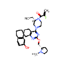 C=C(F)C(=O)N1CCN(c2nc(OC[C@@H]3CCCN3C)nc3c2CCC2(CCCc4ccc(O)cc42)C3)C[C@@H]1CC#N